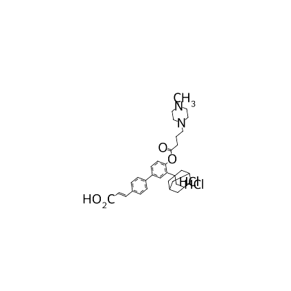 CN1CCN(CCCC(=O)Oc2ccc(-c3ccc(C=CC(=O)O)cc3)cc2C23CC4CC(CC(C4)C2)C3)CC1.Cl.Cl